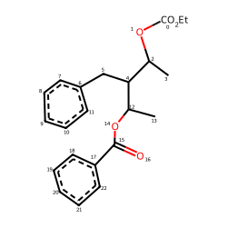 CCOC(=O)OC(C)C(Cc1ccccc1)C(C)OC(=O)c1ccccc1